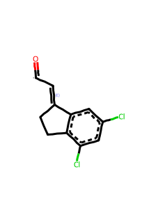 O=[C]/C=C1\CCc2c(Cl)cc(Cl)cc21